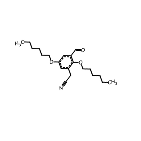 CCCCCCOc1cc(C=O)c(OCCCCCC)c(CC#N)c1